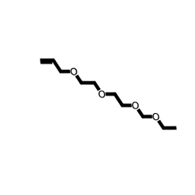 C=CCOCCOCCOCOCC